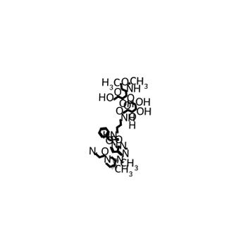 CCC1OC(CO)C(O)C(OC2OC(C(=O)NCCCCNP(=O)(Oc3ccccc3)n3ccc4c(N(C)[C@H]5CN(C(=O)CC#N)CC[C@H]5C)ncnc43)C(O)C(O)C2O)C1NC(C)=O